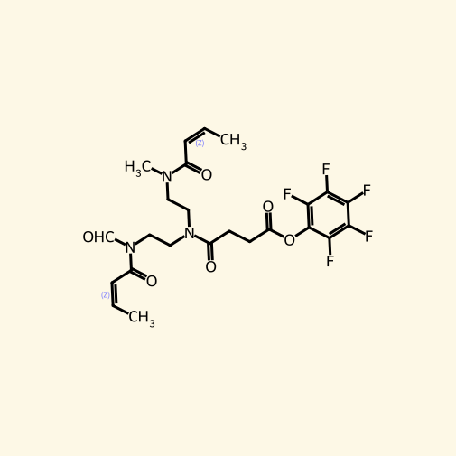 C/C=C\C(=O)N(C)CCN(CCN(C=O)C(=O)/C=C\C)C(=O)CCC(=O)Oc1c(F)c(F)c(F)c(F)c1F